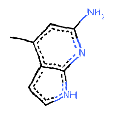 Cc1cc(N)nc2[nH]ccc12